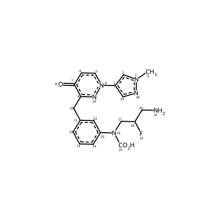 Cn1cc(-n2ccc(=O)c(Cc3cccc(N(CC(F)CN)C(=O)O)c3)n2)cn1